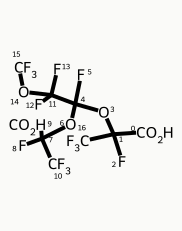 O=C(O)C(F)(OC(F)(OC(F)(C(=O)O)C(F)(F)F)C(F)(F)OC(F)(F)F)C(F)(F)F